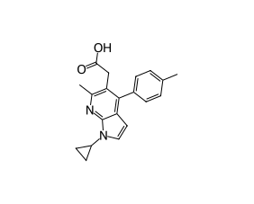 Cc1ccc(-c2c(CC(=O)O)c(C)nc3c2ccn3C2CC2)cc1